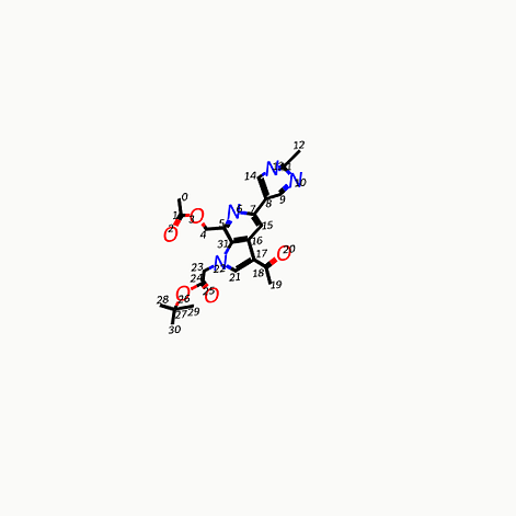 CC(=O)OCc1nc(-c2cnc(C)nc2)cc2c(C(C)=O)cn(CC(=O)OC(C)(C)C)c12